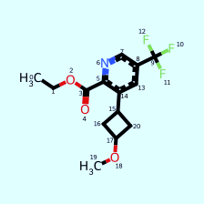 CCOC(=O)c1ncc(C(F)(F)F)cc1C1CC(OC)C1